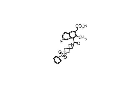 Cc1c(CC(=O)O)cc2ccc(F)cc2c1C(=O)N1CC2(C1)CN(S(=O)(=O)c1ccccc1)C2